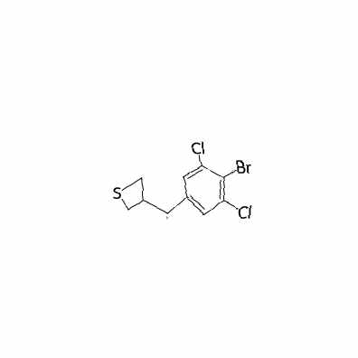 Clc1cc([CH]C2CSC2)cc(Cl)c1Br